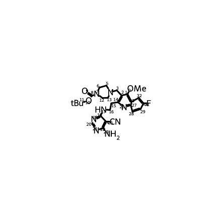 COc1c(CN2CCN(C(=O)OC(C)(C)C)CC2)c(CCNc2ncnc(N)c2C#N)nc2ccc(F)cc12